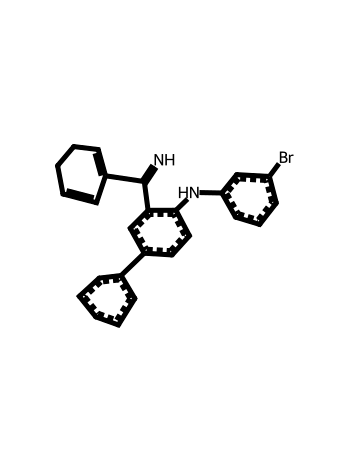 N=C(C1=CCCC=C1)c1cc(-c2ccccc2)ccc1Nc1cccc(Br)c1